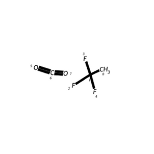 CC(F)(F)F.O=C=O